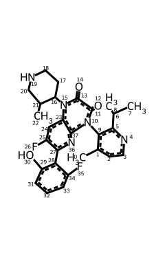 Cc1ccnc(C(C)C)c1-n1c(=O)c(=O)n(C2CCNCC2C)c2cc(F)c(-c3c(O)cccc3F)nc21